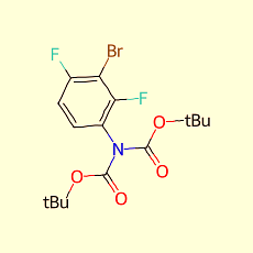 CC(C)(C)OC(=O)N(C(=O)OC(C)(C)C)c1ccc(F)c(Br)c1F